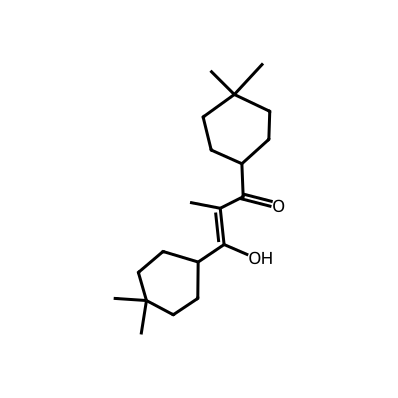 C/C(C(=O)C1CCC(C)(C)CC1)=C(/O)C1CCC(C)(C)CC1